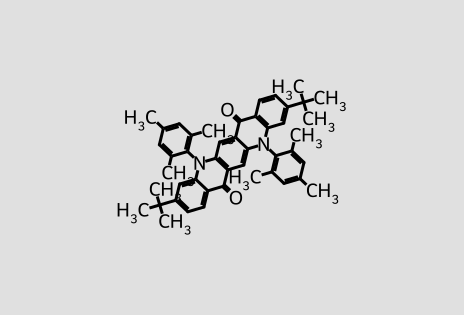 Cc1cc(C)c(-n2c3cc(C(C)(C)C)ccc3c(=O)c3cc4c(cc32)c(=O)c2ccc(C(C)(C)C)cc2n4-c2c(C)cc(C)cc2C)c(C)c1